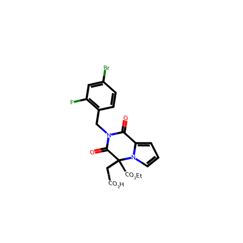 CCOC(=O)C1(CC(=O)O)C(=O)N(Cc2ccc(Br)cc2F)C(=O)c2cccn21